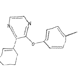 Cc1ccc(Oc2nccnc2C2=CCCCC2)cc1